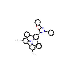 CC(C)(C)c1cc(C(C)(C)C)c2c(c1)c1cc(C(C)(C)C)cc(C(C)(C)C)c1n2-c1c(-c2ccccc2)cc(-c2nc(-c3ccccc3)nc3c2oc2ccccc23)cc1-c1ccccc1